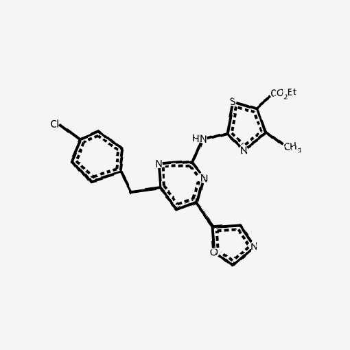 CCOC(=O)c1sc(Nc2nc(Cc3ccc(Cl)cc3)cc(-c3cnco3)n2)nc1C